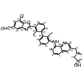 Cc1c(Nc2nccc3cc(CN4CC[C@H](O)C4)cnc23)cccc1-c1cccc(-c2nc3cc(C=O)cc(Cl)c3o2)c1C